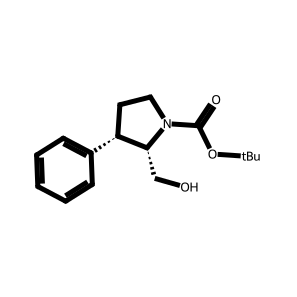 CC(C)(C)OC(=O)N1CC[C@@H](c2ccccc2)[C@H]1CO